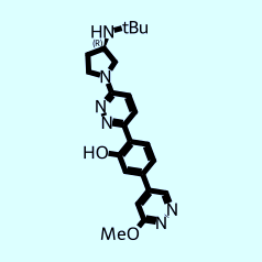 COc1cc(-c2ccc(-c3ccc(N4CC[C@@H](NC(C)(C)C)C4)nn3)c(O)c2)cnn1